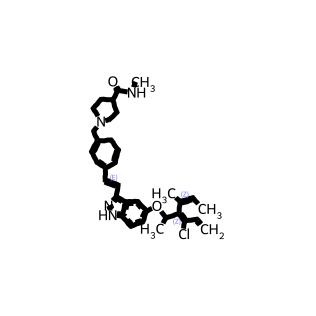 C=C/C(Cl)=C(\C(C)=C/C)C(C)Oc1ccc2[nH]nc(/C=C/C3=CC=C(CN4CCC(C(=O)NC)CC4)CC=C3)c2c1